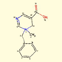 C[N+]1(Cc2ccccc2)C=NC=C(C(=O)O)C1